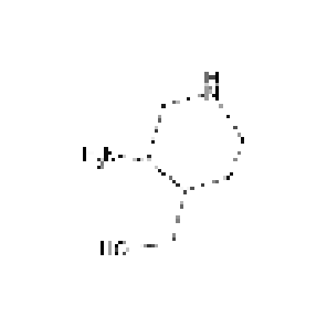 NC1CNCCC1CO